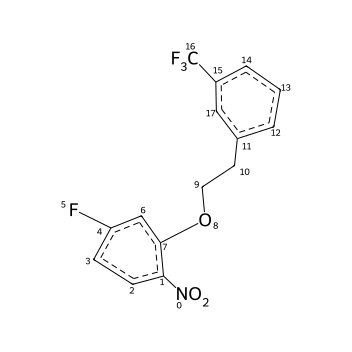 O=[N+]([O-])c1ccc(F)cc1OCCc1cccc(C(F)(F)F)c1